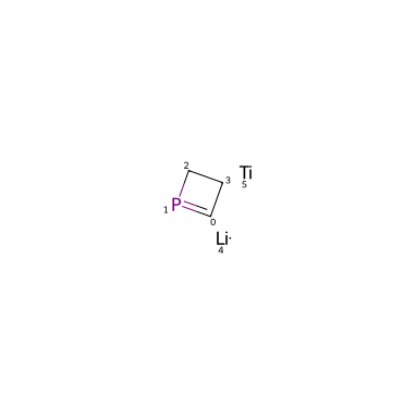 C1=PCC1.[Li].[Ti]